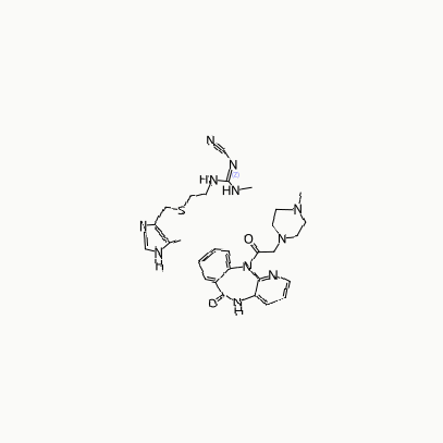 CN/C(=N/C#N)NCCSCc1nc[nH]c1C.CN1CCN(CC(=O)N2c3ccccc3C(=O)Nc3cccnc32)CC1